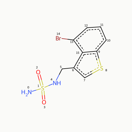 NS(=O)(=O)NCc1csc2cccc(Br)c12